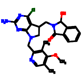 COc1c(C)cnc(CN2CC(CN3C(=O)c4ccccc4C3O)c3c(Cl)nc(N)nc32)c1C